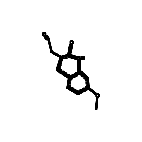 COc1ccc2cc(CC=O)c(=O)[nH]c2c1